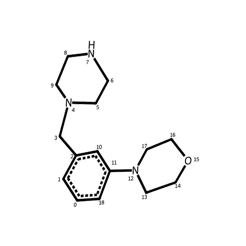 c1cc(CN2CCNCC2)cc(N2CCOCC2)c1